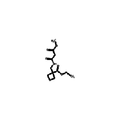 CCOC(=O)C1(CNC(=O)CC(=O)OC)CCC1